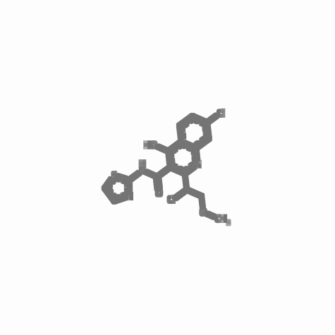 COCC(Cl)c1nc2cc(Cl)ccc2c(O)c1C(=O)Nc1nccs1